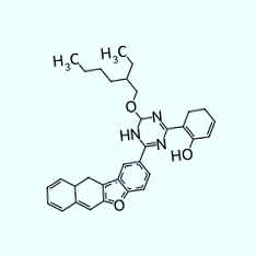 CCCCC(CC)COC1N=C(C2=C(O)C=CCC2)N=C(c2ccc3oc4c(c3c2)CC2C=CC=CC2=C4)N1